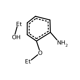 CCO.CCOc1ccccc1N